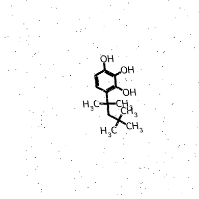 CC(C)(C)CC(C)(C)c1ccc(O)c(O)c1O